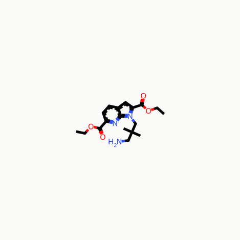 CCOC(=O)c1ccc2cc(C(=O)OCC)n(CC(C)(C)CN)c2n1